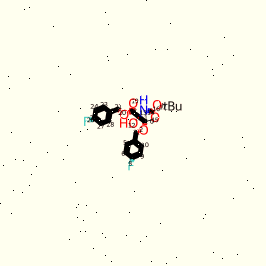 C[C@H](OCc1ccc(F)cc1)[C@@](O)(NC(=O)OC(C)(C)C)C(=O)OCc1ccc(F)cc1